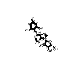 OC[C@H]1OC(n2cnc3c(NCc4c(O)cc(I)cc4O)ncnc32)[C@H](O)[C@@H]1O